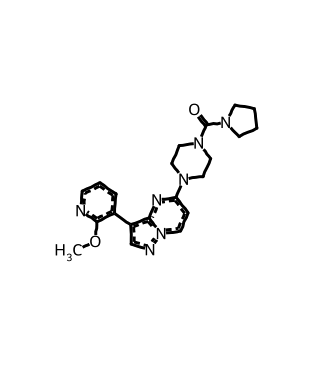 COc1ncccc1-c1cnn2ccc(N3CCN(C(=O)N4CCCC4)CC3)nc12